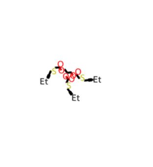 CCC#CCSCC(=O)OCC(COC(=O)CSCC#CCC)OC(=O)CSCC#CCC